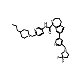 CCCC1CCN(Cc2ccc(NC(=O)C3=NCCCc4ccc(-c5cncc(CN6CCC(F)(F)C6)c5)cc43)cn2)CC1